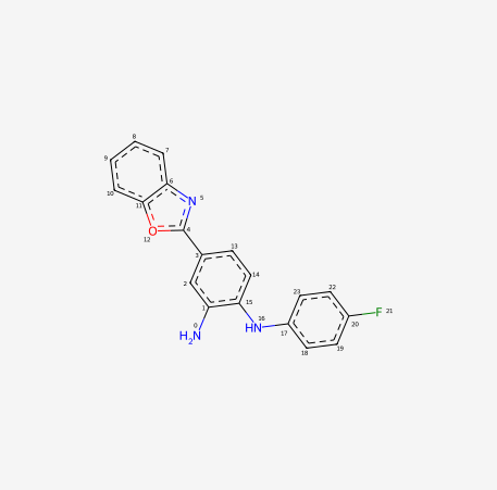 Nc1cc(-c2nc3ccccc3o2)ccc1Nc1ccc(F)cc1